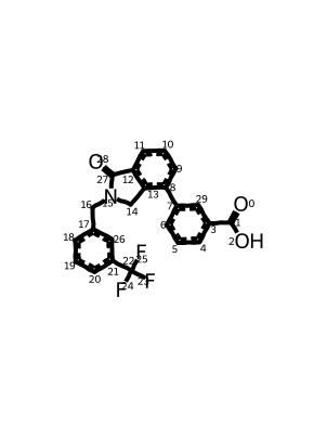 O=C(O)c1cccc(-c2cccc3c2CN(Cc2cccc(C(F)(F)F)c2)C3=O)c1